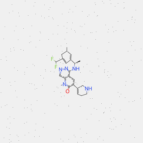 CC1C=C([C@@H](C)Nc2nncc3c2cc(C2=CCCNC2)c(=O)n3C)C=C(C(F)F)C1